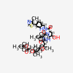 Cc1ncsc1-c1ccc(CNC(=O)[C@@H]2C[C@@H](O)CN2C(=O)C(NC(=O)CC(C)(C)OCCC(C)(C)OCC(=O)OC(C)(C)C)C(C)(C)C)cc1